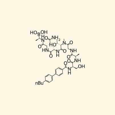 CCCCc1ccc(-c2ccc(C(=O)N[C@H](CO)C(=O)N[C@H](C)C(=O)NCC(=O)N(C)[C@H](C(=O)N[C@@H](C)C(=O)N[C@@H](CC(N)=O)C(=O)N[C@@H](C)B(O)O)C(C)O)cc2)cc1